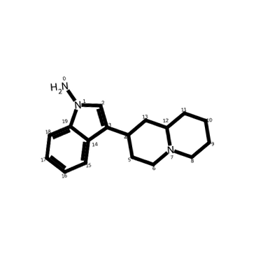 Nn1cc(C2CCN3CCCCC3C2)c2ccccc21